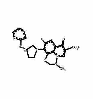 CN1COc2c(N3CC[C@@H](Nc4cnccn4)C3)c(F)cc3c(=O)c(C(=O)O)cn1c23